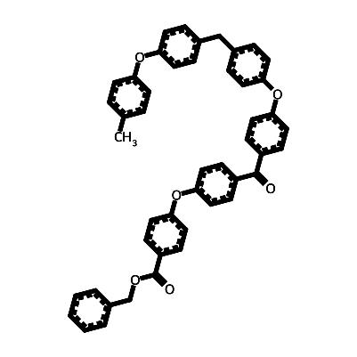 Cc1ccc(Oc2ccc(Cc3ccc(Oc4ccc(C(=O)c5ccc(Oc6ccc(C(=O)OCc7ccccc7)cc6)cc5)cc4)cc3)cc2)cc1